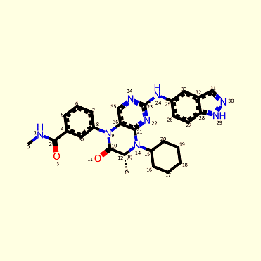 CNC(=O)c1cccc(N2C(=O)[C@@H](C)N(C3CCCCC3)c3nc(Nc4ccc5[nH]ncc5c4)ncc32)c1